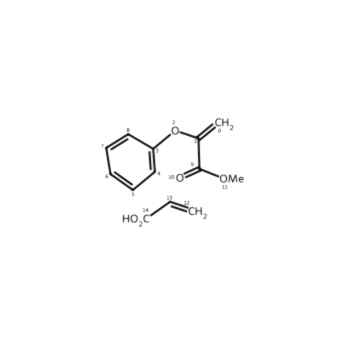 C=C(Oc1ccccc1)C(=O)OC.C=CC(=O)O